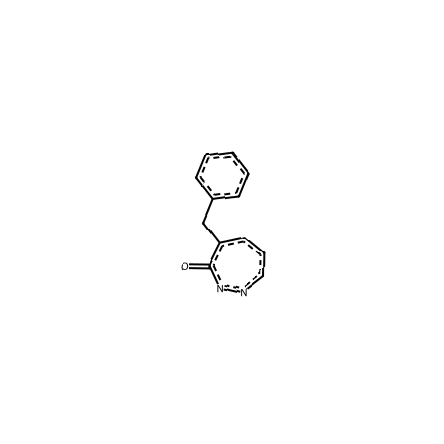 O=c1nncccc1Cc1ccccc1